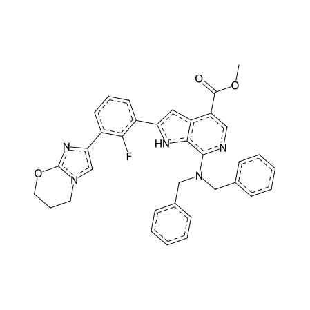 COC(=O)c1cnc(N(Cc2ccccc2)Cc2ccccc2)c2[nH]c(-c3cccc(-c4cn5c(n4)OCCC5)c3F)cc12